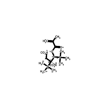 C=C(C)C(=O)ON([C@@](CC(=O)O)(C(=O)O)[Si](C)(C)C)[Si](C)(C)C